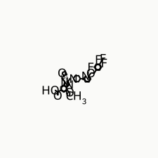 COc1cc(C(=O)O)cc2c1nc(CN1CCC(c3cccc(OCc4ccc(C(F)(F)F)cc4F)n3)CC1)n2C[C@@H]1CCO1